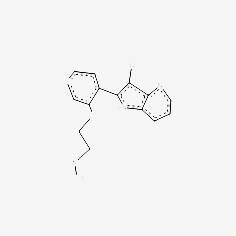 CNCCOc1cnccc1-c1[nH]c2cccnc2c1Br.Cl